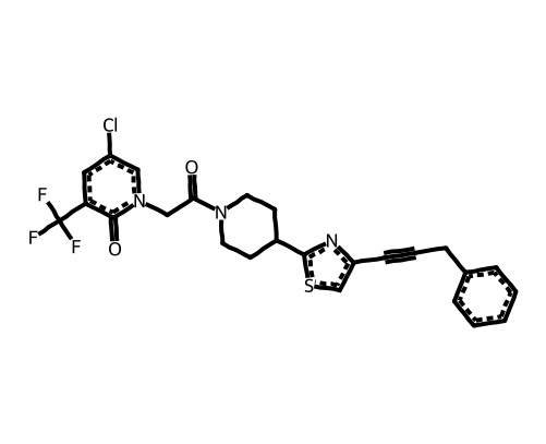 O=C(Cn1cc(Cl)cc(C(F)(F)F)c1=O)N1CCC(c2nc(C#CCc3ccccc3)cs2)CC1